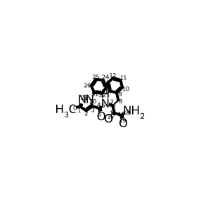 Cc1cc(C(=O)N[C@@H](Cc2ccccc2)C(=O)C(N)=O)n(-c2ccccc2)n1